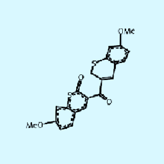 COc1ccc2c(c1)SCC(C(=O)c1cc3ccc(OC)cc3sc1=O)=C2